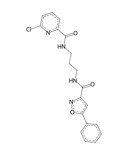 O=C(NCCCNC(=O)c1cccc(Cl)n1)c1cc(-c2ccccc2)on1